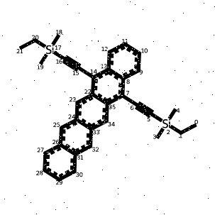 CC[Si](C)(C)C#Cc1c2ccccc2c(C#C[Si](C)(C)CC)c2cc3cc4ccccc4cc3cc12